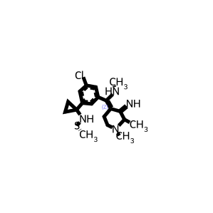 CN/C(=C1/CCN(C)C(C)C1=N)c1cc(Cl)cc(C2(NSC)CC2)c1